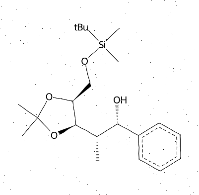 C[C@H]([C@H]1OC(C)(C)O[C@H]1CO[Si](C)(C)C(C)(C)C)[C@H](O)c1ccccc1